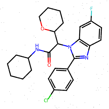 O=C(NC1CCCCC1)C(C1CCCCO1)n1c(-c2ccc(Cl)cc2)nc2ccc(F)cc21